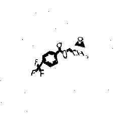 C1CO1.CCOC(=O)c1ccc(C(F)(F)F)cc1